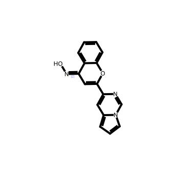 O/N=c1/cc(-c2cc3cccn3cn2)oc2ccccc12